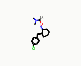 CCC(ON=C1CCCCC1=Cc1ccc(Cl)cc1)N(C)C